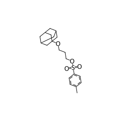 Cc1ccc(S(=O)(=O)OCCCOC23CC4CC(CC(C4)C2)C3)cc1